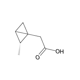 C[C@@H]1C2CC21CC(=O)O